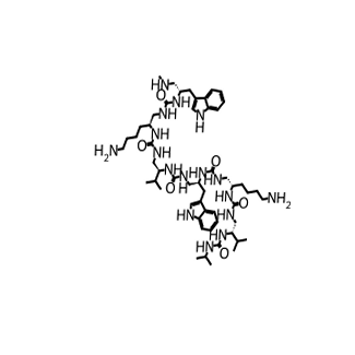 CNC[C@H](Cc1c[nH]c2ccccc12)NC(=O)NC[C@H](CCCCN)NC(=O)NC[C@@H](NC(=O)NC[C@H](Cc1c[nH]c2ccccc12)NC(=O)NC[C@H](CCCCN)NC(=O)NC[C@@H](NC(=O)NC(C)C)C(C)C)C(C)C